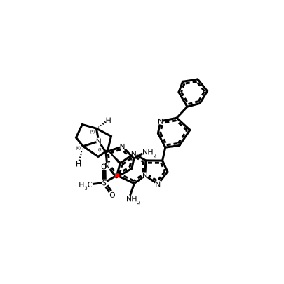 CS(=O)(=O)c1c([C@H]2C[C@H]3CC[C@@H](C2)N3c2nccc(N)n2)nc2c(-c3ccc(-c4ccccc4)nc3)cnn2c1N